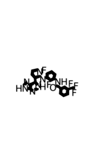 O=C(Nc1ccc(F)c(Nc2ncccc2-c2ncnc3[nH]cnc23)c1F)c1cccc(C(F)(F)F)c1